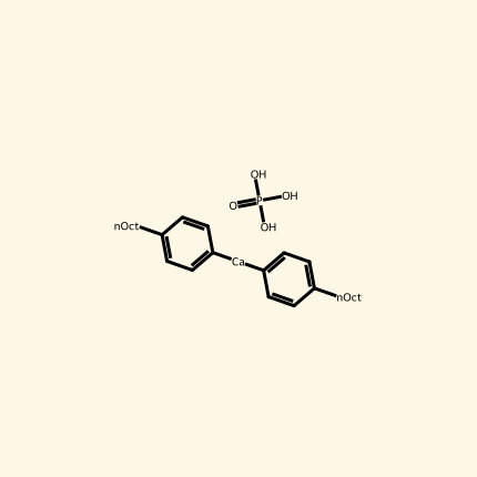 CCCCCCCCc1cc[c]([Ca][c]2ccc(CCCCCCCC)cc2)cc1.O=P(O)(O)O